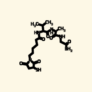 BC(=O)CNC(=O)[C@H](C)NC(=O)C(NC(=O)CCCCCN1C(=O)CC(S)C1=O)C(C)C